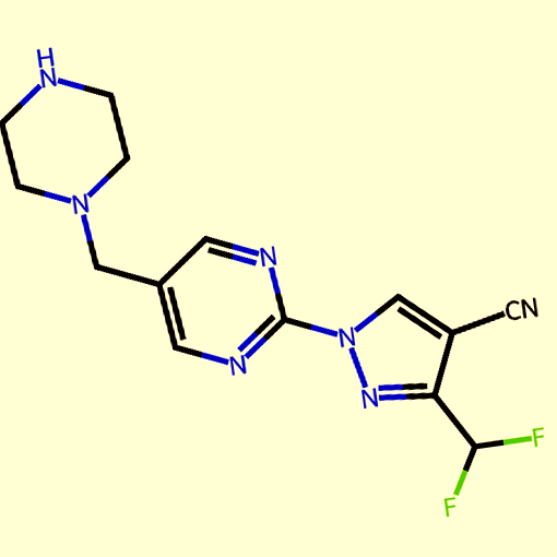 N#Cc1cn(-c2ncc(CN3CCNCC3)cn2)nc1C(F)F